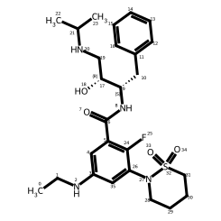 CCNc1cc(C(=O)N[C@@H](Cc2ccccc2)[C@H](O)CNC(C)C)c(F)c(N2CCCCS2(=O)=O)c1